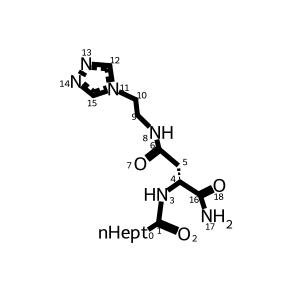 CCCCCCCC(=O)N[C@H](CC(=O)NCCn1cnnc1)C(N)=O